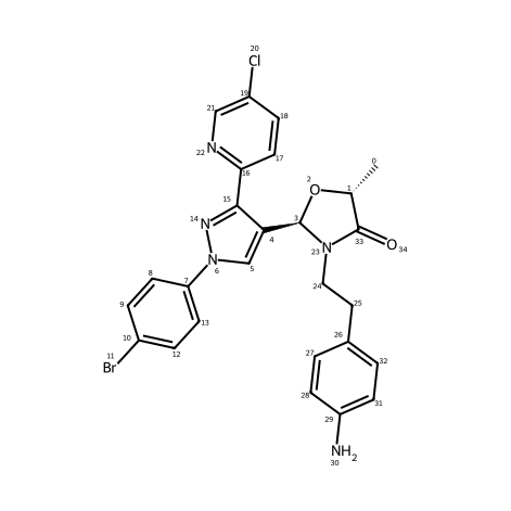 C[C@H]1O[C@H](c2cn(-c3ccc(Br)cc3)nc2-c2ccc(Cl)cn2)N(CCc2ccc(N)cc2)C1=O